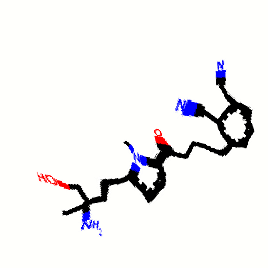 Cn1c(CCC(C)(N)CO)ccc1C(=O)CCCc1cccc(C#N)c1C#N